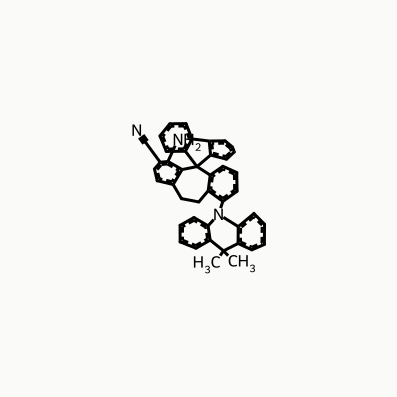 CC1(C)c2ccccc2N(c2cccc3c2CCc2ccc(C#N)c(N)c2C32c3ccccc3-c3ccccc32)c2ccccc21